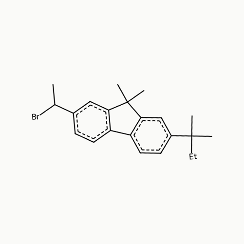 CCC(C)(C)c1ccc2c(c1)C(C)(C)c1cc(C(C)Br)ccc1-2